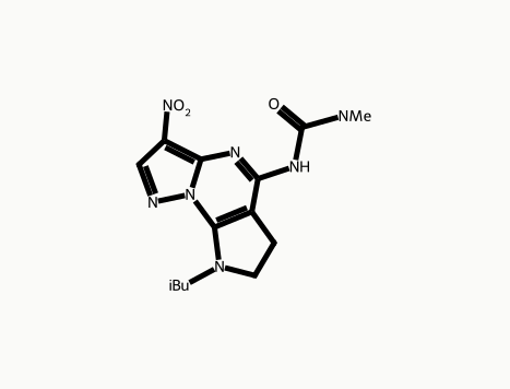 CCC(C)N1CCc2c(NC(=O)NC)nc3c([N+](=O)[O-])cnn3c21